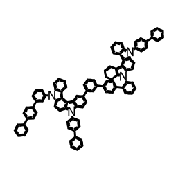 C1=Cc2c(n(-c3ccccc3-c3ccc(-c4cccc(-c5ccc6c(c5)c5c7c8ccccc8n(-c8cccc(-c9ccc(-c%10ccccc%10)cc9)c8)c7ccc5n6-c5ccc(-c6ccccc6)cc5)c4)cc3)c3ccc4c(c5ccccc5n4-c4ccc(-c5ccccc5)cc4)c23)CC1